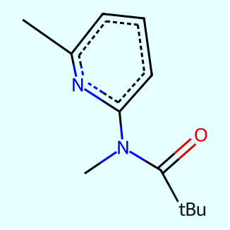 Cc1cccc(N(C)C(=O)C(C)(C)C)n1